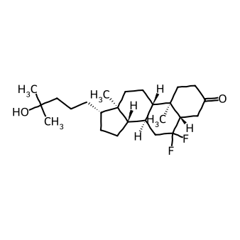 CC(C)(O)CCC[C@H]1CC[C@H]2[C@@H]3CC(F)(F)[C@H]4CC(=O)CC[C@]4(C)[C@H]3CC[C@]12C